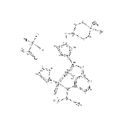 CC(C)N(c1cccc2cc(-c3ncc(CN4CCC(C)(O)CC4)s3)[nH]c12)S(=O)(=O)c1cccs1.O=C(O)C(F)(F)F